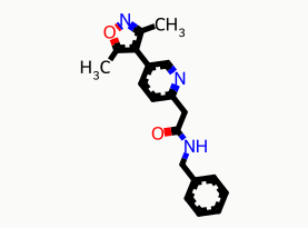 Cc1noc(C)c1-c1ccc(CC(=O)NCc2ccccc2)nc1